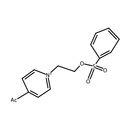 CC(=O)c1cc[n+](CCOS(=O)(=O)c2ccccc2)cc1